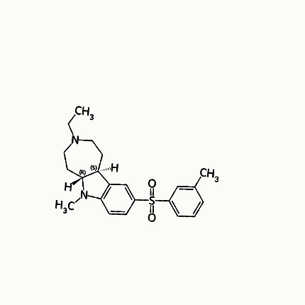 CCN1CC[C@@H]2[C@@H](CC1)c1cc(S(=O)(=O)c3cccc(C)c3)ccc1N2C